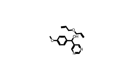 C=CCOCC=C.COc1ccc(C(O)c2cncnc2)cc1